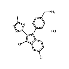 Cl.Cn1nnc(-c2c(Cl)c3cc(Cl)ccc3n2-c2ccc(CN)cc2)n1